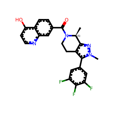 C[C@H]1c2nn(C)c(-c3cc(F)c(F)c(F)c3)c2CCN1C(=O)c1ccc2c(O)ccnc2c1